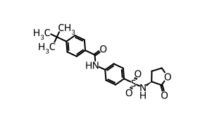 CC(C)(C)c1ccc(C(=O)Nc2ccc(S(=O)(=O)N[C@H]3CCOC3=O)cc2)cc1